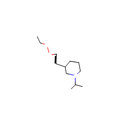 CCOO/C=C/C1CCCN(C(C)C)C1